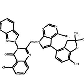 CC1(C)Cc2c(-c3nn(Cc4nc5cccc(Cl)c5c(=O)n4-n4cc5ccccc5n4)c4ncnc(N)c34)ccc(O)c2O1